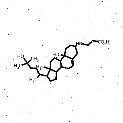 CC(CCC(C)(C)O)C1CCC2C3CC=C4CC(NCCC(=O)O)CCC4(C)C3CCC12C